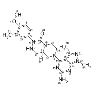 COc1ccc(N2NC[C@@H]3CN(c4nc(N)nc5c4c(C)nn5C)CCN3C2=O)cc1C